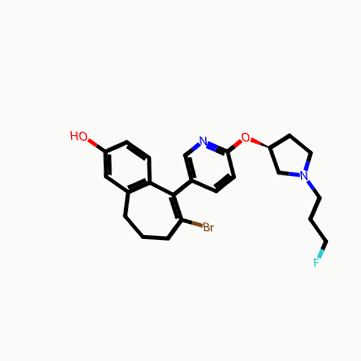 Oc1ccc2c(c1)CCCC(Br)=C2c1ccc(O[C@H]2CCN(CCCF)C2)nc1